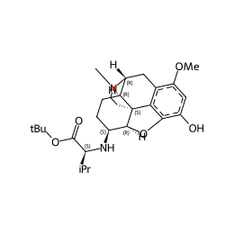 COc1cc(O)c2c3c1C[C@@H]1[C@@H]4CC[C@H](N[C@H](C(=O)OC(C)(C)C)C(C)C)[C@H](O2)[C@]34CCN1C